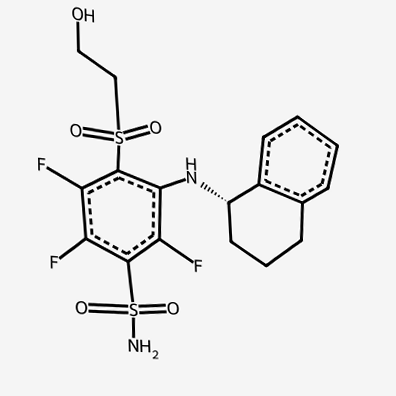 NS(=O)(=O)c1c(F)c(F)c(S(=O)(=O)CCO)c(N[C@H]2CCCc3ccccc32)c1F